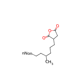 CCCCCCCCCCCC(C)CCCC1CC(=O)OC1=O